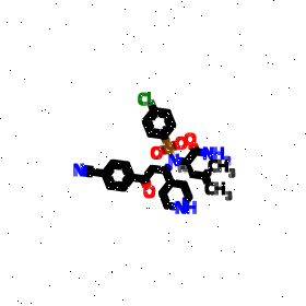 CC(C)C[C@H](C(N)=O)N(C(CC(=O)c1ccc(C#N)cc1)C1CCNCC1)S(=O)(=O)c1ccc(Cl)cc1